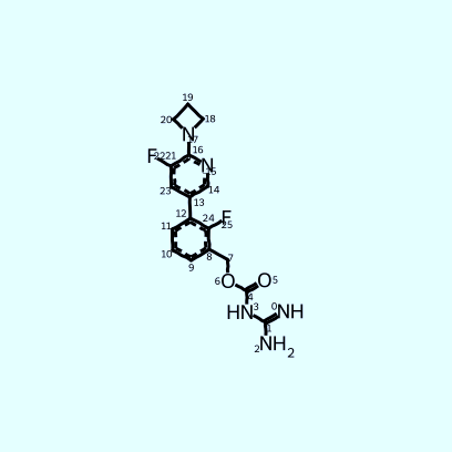 N=C(N)NC(=O)OCc1cccc(-c2cnc(N3CCC3)c(F)c2)c1F